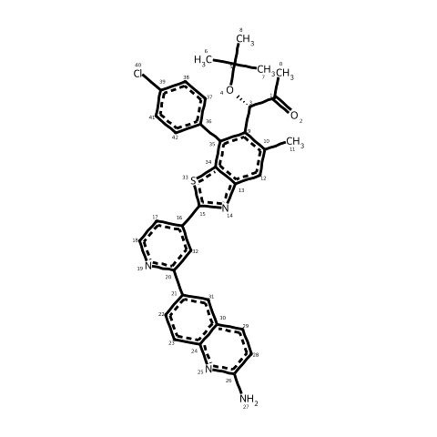 CC(=O)[C@@H](OC(C)(C)C)c1c(C)cc2nc(-c3ccnc(-c4ccc5nc(N)ccc5c4)c3)sc2c1-c1ccc(Cl)cc1